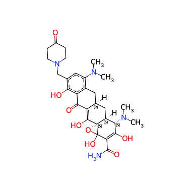 CN(C)c1cc(CN2CCC(=O)CC2)c(O)c2c1C[C@H]1C[C@H]3[C@H](N(C)C)C(O)=C(C(N)=O)C4(O)O[C@]34C(O)=C1C2=O